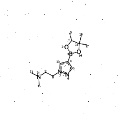 CC1OB(c2cnn(CCN(C)C)c2)OC1(C)C